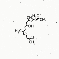 CC(C)=CCCC(C)CCC(O)CC(C)CCC=C(C)C